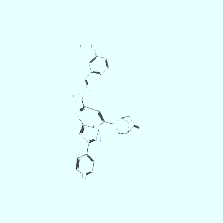 Cc1cccc(C=NNc2cc(N3CC4CC3CC4=O)n3nc(-c4ccncc4)cc3n2)c1